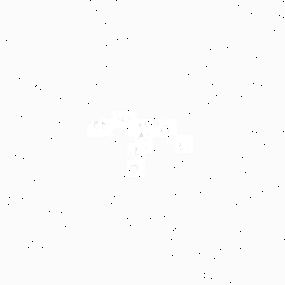 CC[O][AlH][O]CC.[H-].[Li+]